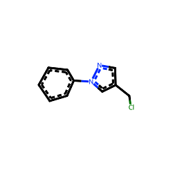 ClCc1cnn(-c2ccccc2)c1